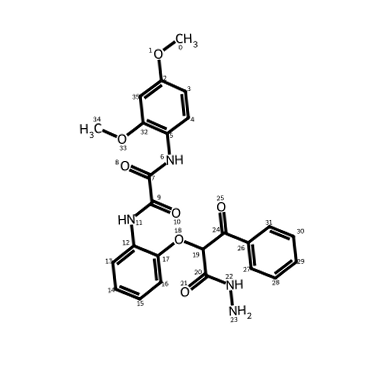 COc1ccc(NC(=O)C(=O)Nc2ccccc2OC(C(=O)NN)C(=O)c2ccccc2)c(OC)c1